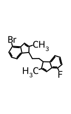 CC1=Cc2c(F)cccc2C1CCC1C(C)=Cc2c(Br)cccc21